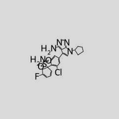 Nc1ncnc2c1c(-c1ccc(C3(S(N)(=O)=O)C=CC=C(F)C3)c(Cl)c1)cn2C1CCCC1